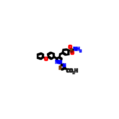 NS(=O)(=O)c1ccc(Cc2cn(-c3nc(C(=O)O)cs3)nc2-c2cccc(Oc3ccccc3)c2)cc1